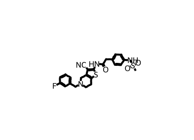 CS(=O)(=O)Nc1ccc(CC(=O)Nc2sc3c(c2C#N)CN(Cc2cccc(F)c2)CC3)cc1